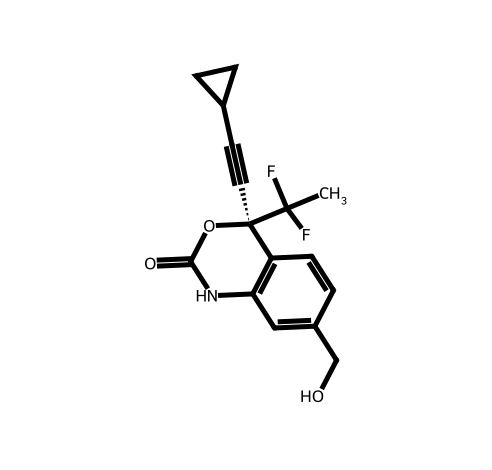 CC(F)(F)[C@]1(C#CC2CC2)OC(=O)Nc2cc(CO)ccc21